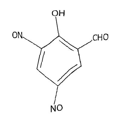 O=Cc1cc(N=O)cc(N=O)c1O